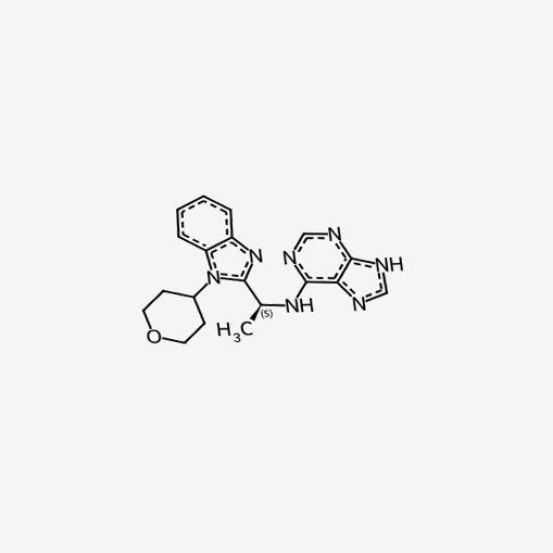 C[C@H](Nc1ncnc2[nH]cnc12)c1nc2ccccc2n1C1CCOCC1